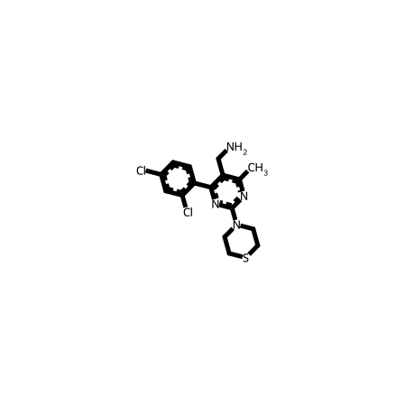 Cc1nc(N2CCSCC2)nc(-c2ccc(Cl)cc2Cl)c1CN